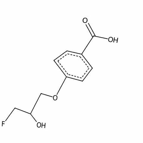 O=C(O)c1ccc(OCC(O)CF)cc1